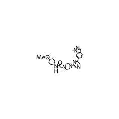 CO[C@H]1CC[C@H](NC(=O)CN2CCN(c3cncc(-c4ccc5cnn(C)c5c4)n3)CC2)CC1